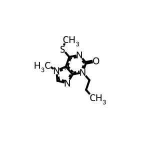 CCCn1c(=O)nc(SC)c2c1ncn2C